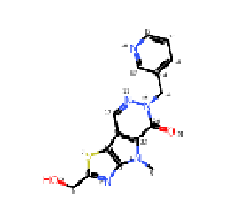 Cn1c2nc(CO)sc2c2cnn(Cc3cccnc3)c(=O)c21